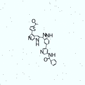 CC(=O)c1ccc(-c2cncc3[nH]c(-c4n[nH]c5ccc(-c6cncc(NC(=O)c7ccccc7)c6)cc45)cc23)s1